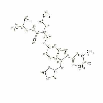 C/C=C(\C=C(\C)C=O)c1nc2cc(CNC(COC)C(=O)OCC(C)C)ccc2n1CC1CCOC1